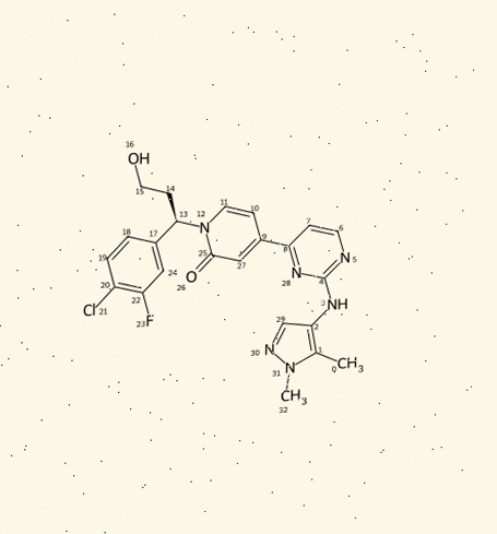 Cc1c(Nc2nccc(-c3ccn([C@H](CCO)c4ccc(Cl)c(F)c4)c(=O)c3)n2)cnn1C